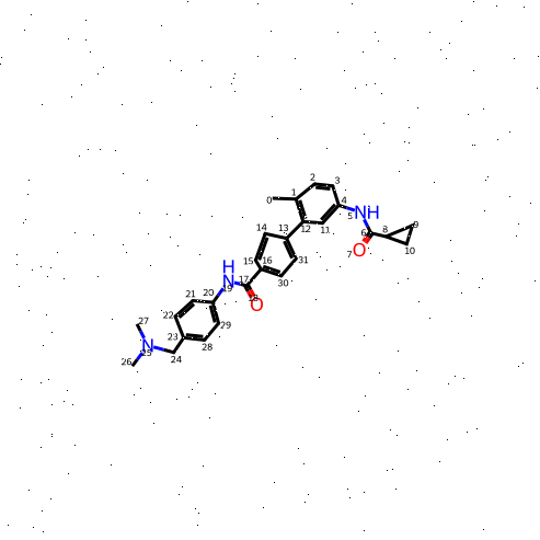 Cc1ccc(NC(=O)C2CC2)cc1-c1ccc(C(=O)Nc2ccc(CN(C)C)cc2)cc1